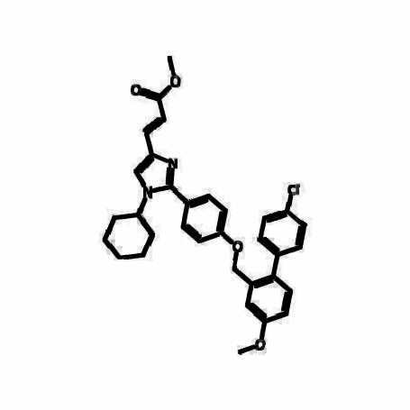 COC(=O)C=Cc1cn(C2CCCCC2)c(-c2ccc(OCc3cc(OC)ccc3-c3ccc(Cl)cc3)cc2)n1